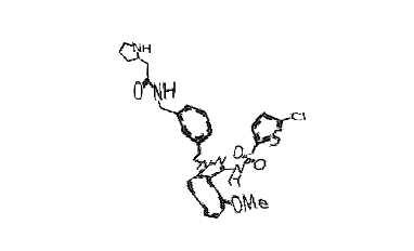 COc1cccc2c1c(NS(=O)(=O)c1ccc(Cl)s1)nn2Cc1cccc(CNC(=O)CC2CCCN2)c1